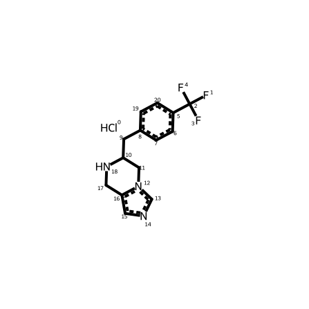 Cl.FC(F)(F)c1ccc(CC2Cn3cncc3CN2)cc1